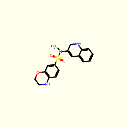 CN(C1=Cc2ccccc2NC1)S(=O)(=O)c1ccc2c(c1)OCCN2